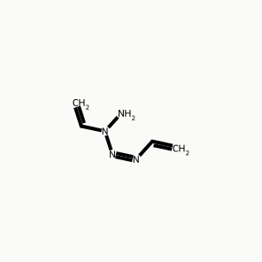 C=C/N=N\N(N)C=C